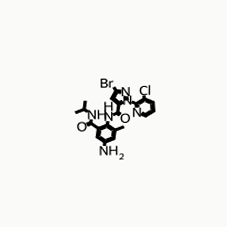 Cc1cc(N)cc(C(=O)NC(C)C)c1NC(=O)c1cc(Br)nn1-c1ncccc1Cl